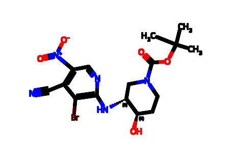 CC(C)(C)OC(=O)N1CC[C@@H](O)[C@H](Nc2ncc([N+](=O)[O-])c(C#N)c2Br)C1